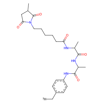 [2H]Cc1ccc(NC(=O)C(C)NC(=O)C(C)NC(=O)CCCCCN2C(=O)CC(C)C2=O)cc1